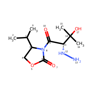 CC(C)C1COC(=O)N1C(=O)[C@@H](NN)C(C)(C)O